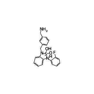 NCc1cccc(CN2c3ccccc3N(c3ccccc3F)S2(O)O)c1